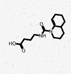 O=C(O)CCCNC(=O)N1CCCC2CCCC=C21